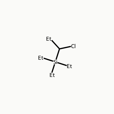 CCC(Cl)[Si](CC)(CC)CC